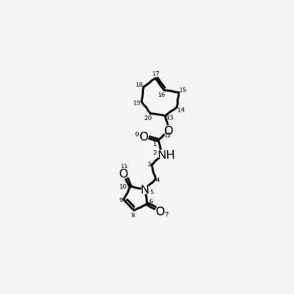 O=C(NCCN1C(=O)C=CC1=O)OC1CC/C=C/CCC1